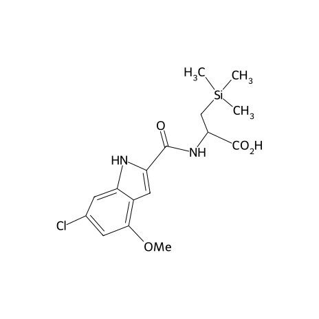 COc1cc(Cl)cc2[nH]c(C(=O)NC(C[Si](C)(C)C)C(=O)O)cc12